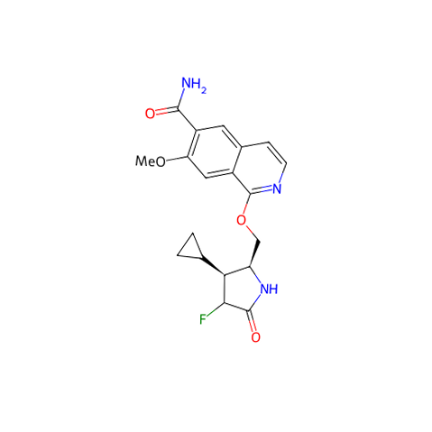 COc1cc2c(OC[C@H]3NC(=O)C(F)[C@H]3C3CC3)nccc2cc1C(N)=O